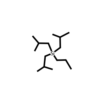 CCC[Si](CC(C)C)(CC(C)C)CC(C)C